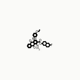 CCOc1ccc(Nc2cc(C(=O)OC3CCC4CC(F)CCC4C3)c(N)c3c2C(=O)c2ccccc2C3=O)cc1